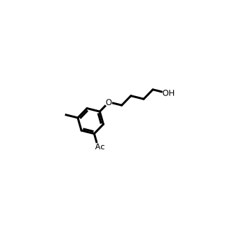 CC(=O)c1cc(C)cc(OCCCCO)c1